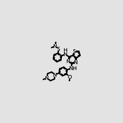 COc1cc(N2CCN(C)CC2)ccc1Nc1nc(Nc2ccccc2SN(C)C)c2sccc2n1